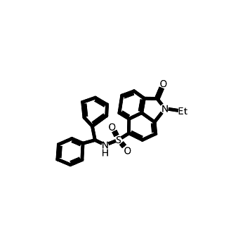 CCN1C(=O)c2cccc3c(S(=O)(=O)NC(c4ccccc4)c4ccccc4)ccc1c23